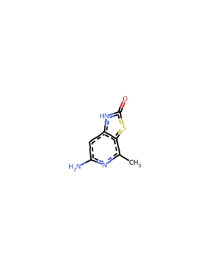 Cc1nc(N)cc2[nH]c(=O)sc12